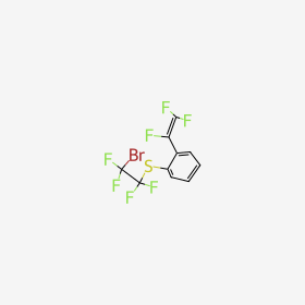 FC(F)=C(F)c1ccccc1SC(F)(F)C(F)(F)Br